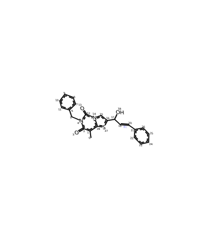 Cc1c(=O)n(Cc2ccccc2)c(=O)n2cc(C(O)/C=C/c3ccccc3)sc12